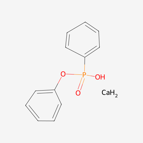 O=P(O)(Oc1ccccc1)c1ccccc1.[CaH2]